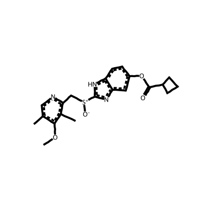 COc1c(C)cnc(C[S+]([O-])c2nc3cc(OC(=O)C4CCC4)ccc3[nH]2)c1C